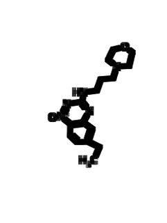 CCc1ccc2c(c1)nc(NCCCN1CCOCC1)n[n+]2[O-]